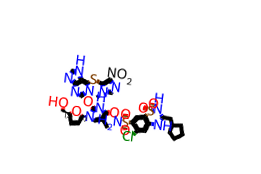 Cc1cn([C@H]2C=C[C@@H](CO)O2)c(=O)[nH]c1=O.Cn1cnc([N+](=O)[O-])c1Sc1ncnc2nc[nH]c12.NS(=O)(=O)c1cc2c(cc1Cl)NC(CC1CCCC1)NS2(=O)=O